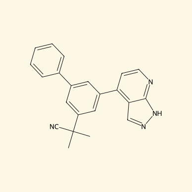 CC(C)(C#N)c1cc(-c2ccccc2)cc(-c2ccnc3[nH]ncc23)c1